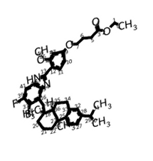 CCOC(=O)CCCOc1ccc(-c2nc3c(C[C@@]4(C)CCC[C@]5(C)c6ccc(C(C)C)cc6CC[C@@H]45)c(Br)c(F)cc3[nH]2)c(OC)c1